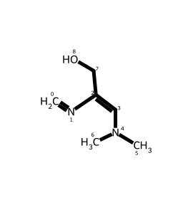 C=N/C(=C\N(C)C)CO